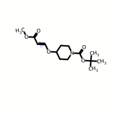 COC(=O)/C=C/OC1CCN(C(=O)OC(C)(C)C)CC1